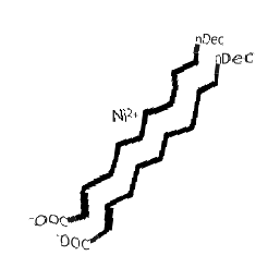 CCCCCCCCCCCCCCCCCC=CC(=O)[O-].CCCCCCCCCCCCCCCCCC=CC(=O)[O-].[Ni+2]